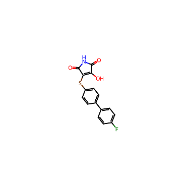 O=C1NC(=O)C(Sc2ccc(-c3ccc(F)cc3)cc2)=C1O